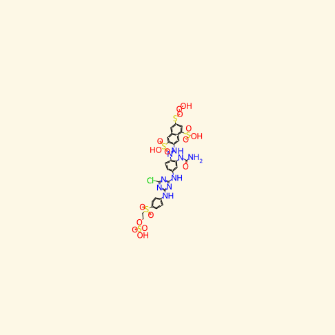 NC(=O)Nc1cc(Nc2nc(Cl)nc(Nc3ccc(S(=O)(=O)CCOS(=O)(=O)O)cc3)n2)ccc1/N=N/c1cc2c(S(=O)(=O)O)cc(SOOO)cc2cc1S(=O)(=O)O